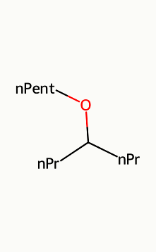 CCCCCOC(CCC)CCC